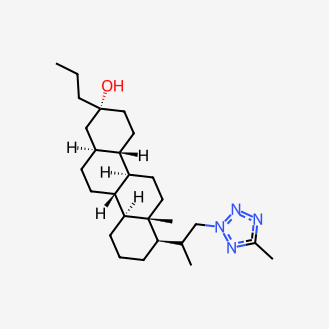 CCC[C@@]1(O)CC[C@H]2[C@@H](CC[C@@H]3[C@@H]2CC[C@]2(C)[C@@H](C(C)Cn4nnc(C)n4)CCC[C@@H]32)C1